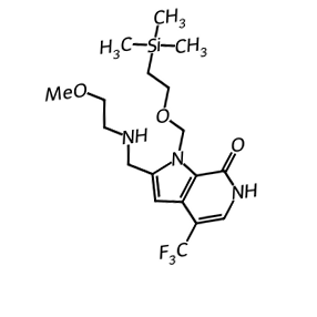 COCCNCc1cc2c(C(F)(F)F)c[nH]c(=O)c2n1COCC[Si](C)(C)C